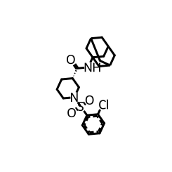 O=C(NC12CC3CC(CC(C3)C1)C2)[C@H]1CCCN(S(=O)(=O)c2ccccc2Cl)C1